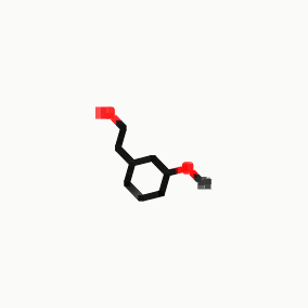 CCOC1CCCC(CCO)C1